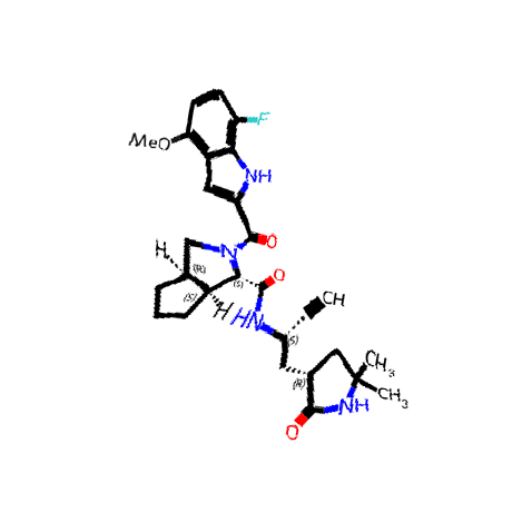 C#C[C@H](C[C@@H]1CC(C)(C)NC1=O)NC(=O)[C@@H]1[C@H]2CCC[C@H]2CN1C(=O)c1cc2c(OC)ccc(F)c2[nH]1